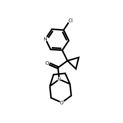 O=C(N1C2CCC1COC2)C1(c2cncc(Cl)c2)CC1